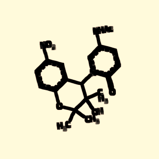 CC(=O)Nc1ccc(=O)n(C2c3cc([N+](=O)[O-])ccc3OC(C)(C)C2(C)O)c1